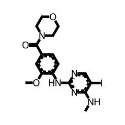 CNc1nc(Nc2ccc(C(=O)N3CCOCC3)cc2OC)ncc1I